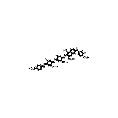 COc1ccc(Nc2ccc3c(O)c(N=Nc4cc(C)c(N=Nc5cc(C)c(N=Nc6ccc(S(=O)(=O)O)cc6)cc5OC)cc4OC)c(S(=O)(=O)O)cc3c2)cc1